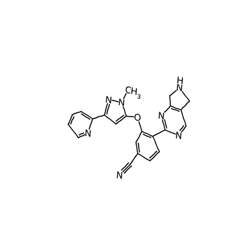 Cn1nc(-c2ccccn2)cc1Oc1cc(C#N)ccc1-c1ncc2c(n1)CNC2